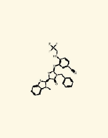 CN1C(=C2SC(=Nc3cc(C#N)ccc3NCC(F)(F)F)N(Cc3ccccc3)C2=O)Sc2ccccc21